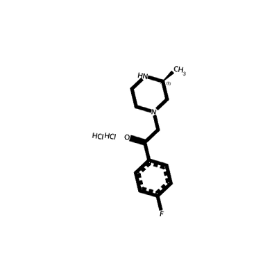 C[C@H]1CN(CC(=O)c2ccc(F)cc2)CCN1.Cl.Cl